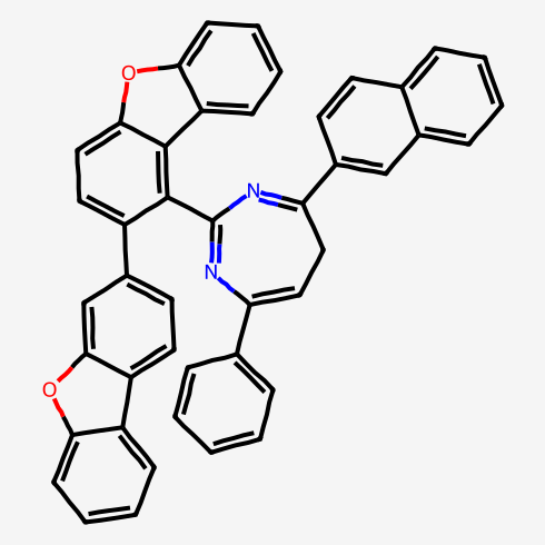 C1=C(c2ccccc2)N=C(c2c(-c3ccc4c(c3)oc3ccccc34)ccc3oc4ccccc4c23)N=C(c2ccc3ccccc3c2)C1